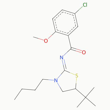 CCCCN1CC(C(C)(C)C)SC1=NC(=O)c1cc(Cl)ccc1OC